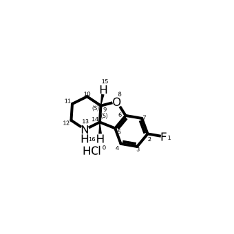 Cl.Fc1ccc2c(c1)O[C@H]1CCCN[C@@H]21